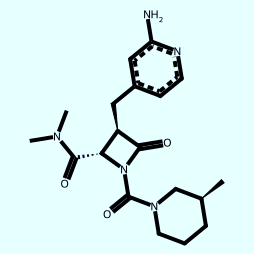 C[C@H]1CCCN(C(=O)N2C(=O)[C@H](Cc3ccnc(N)c3)[C@H]2C(=O)N(C)C)C1